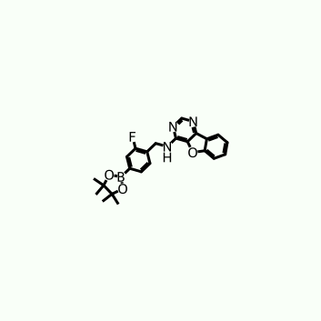 CC1(C)OB(c2ccc(CNc3ncnc4c3oc3ccccc34)c(F)c2)OC1(C)C